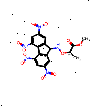 COC(=O)[C@@H](C)ONC1c2cc([N+](=O)[O-])cc([N+](=O)[O-])c2-c2c1cc([N+](=O)[O-])cc2[N+](=O)[O-]